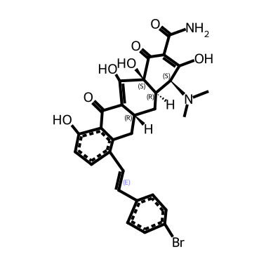 CN(C)[C@@H]1C(O)=C(C(N)=O)C(=O)[C@@]2(O)C(O)=C3C(=O)c4c(O)ccc(/C=C/c5ccc(Br)cc5)c4C[C@H]3C[C@H]12